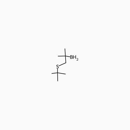 BC(C)(C)CSC(C)(C)C